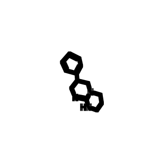 c1ccc(C2CN=C3NCCCN3C2)cc1